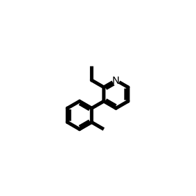 CCc1ncccc1-c1ccccc1C